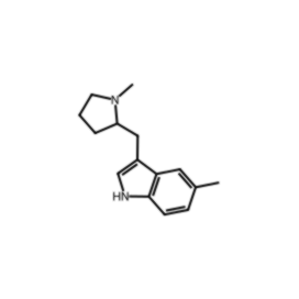 Cc1ccc2[nH]cc(CC3CCCN3C)c2c1